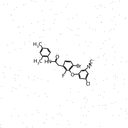 [C-]#[N+]c1cc(Cl)cc(Oc2c(Br)ccc(CC(=O)Nc3ccc(C)cc3C)c2F)c1